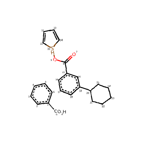 O=C(O)c1ccccc1.O=C(O[SH]1C=CC=C1)c1cccc(C2CCCCC2)c1